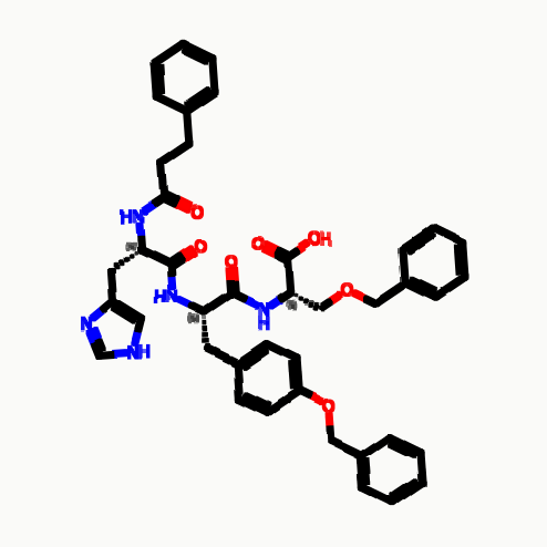 O=C(CCc1ccccc1)N[C@@H](Cc1c[nH]cn1)C(=O)N[C@@H](Cc1ccc(OCc2ccccc2)cc1)C(=O)N[C@@H](COCc1ccccc1)C(=O)O